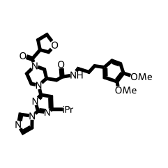 COc1ccc(CCCNC(=O)CC2CN(C(=O)C3CCOC3)CCN2c2cc(C(C)C)nc(-n3ccnc3)n2)cc1OC